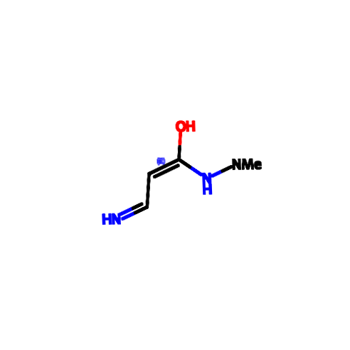 CNN/C(O)=C\C=N